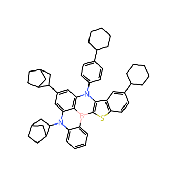 c1ccc2c(c1)B1c3sc4ccc(C5CCCCC5)cc4c3N(c3ccc(C4CCCCC4)cc3)c3cc(C4CC5CCC4C5)cc(c31)N2C1CC2CCC1C2